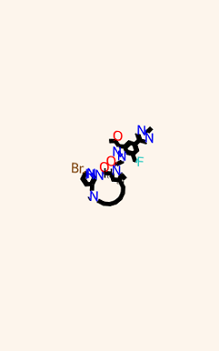 CC(=O)c1nn(CC(=O)N2C3C[C@@]34CCCCCCCN(C)Cc3ccc(Br)nc3NC(=O)[C@@H]2C4)c2c(CF)cc(-c3cnc(C)nc3)cc12